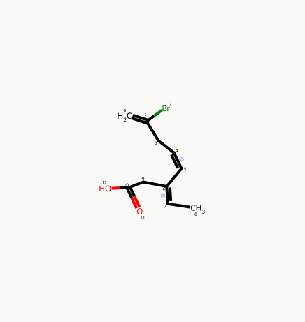 C=C(Br)C/C=C\C(=C/C)CC(=O)O